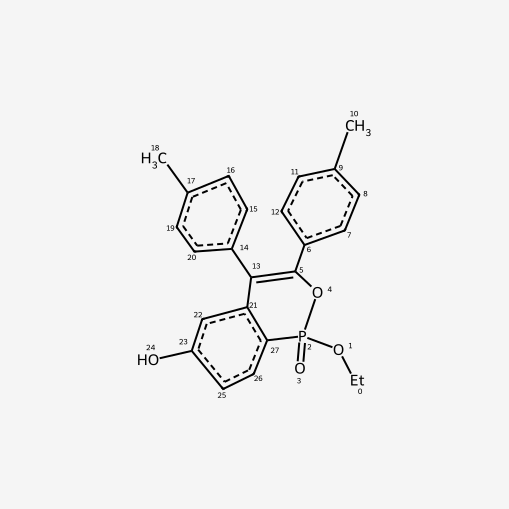 CCOP1(=O)OC(c2ccc(C)cc2)=C(c2ccc(C)cc2)c2cc(O)ccc21